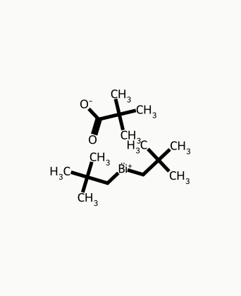 CC(C)(C)C(=O)[O-].CC(C)(C)[CH2][Bi+][CH2]C(C)(C)C